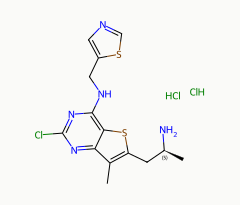 Cc1c(C[C@H](C)N)sc2c(NCc3cncs3)nc(Cl)nc12.Cl.Cl